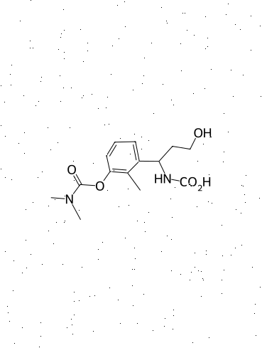 Cc1c(OC(=O)N(C)C)cccc1C(CCO)NC(=O)O